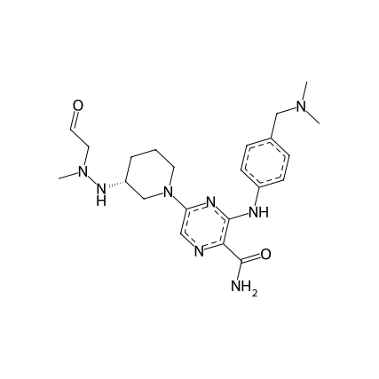 CN(C)Cc1ccc(Nc2nc(N3CCC[C@@H](NN(C)CC=O)C3)cnc2C(N)=O)cc1